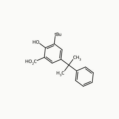 CC(C)(C)c1cc(C(C)(C)c2ccccc2)cc(C(=O)O)c1O